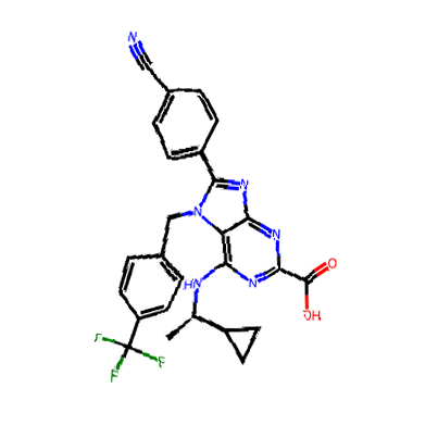 C[C@@H](Nc1nc(C(=O)O)nc2nc(-c3ccc(C#N)cc3)n(Cc3ccc(C(F)(F)F)cc3)c12)C1CC1